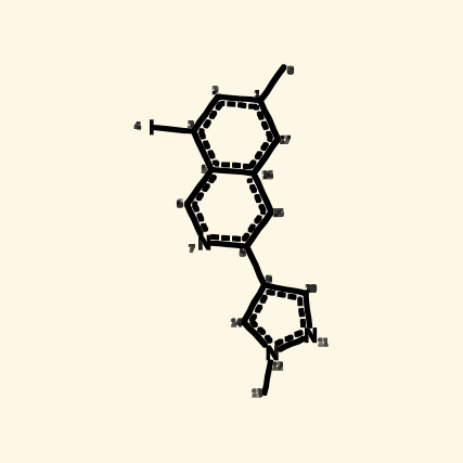 Cc1cc(I)c2cnc(-c3cnn(C)c3)cc2c1